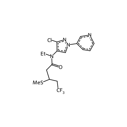 CCN(C(=O)CC(CC(F)(F)F)SC)c1cn(-c2cccnc2)nc1Cl